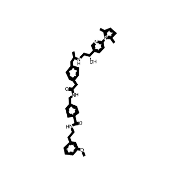 COc1cccc(CCNC(=O)c2ccc(CNC(=O)Cc3ccc(CC(C)NC[C@@H](O)c4ccc(-n5c(C)ccc5C)nc4)cc3)cc2)c1